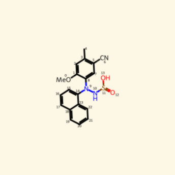 COc1cc(C)c(C#N)cc1N(NS(=O)O)c1cccc2ccccc12